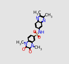 Cc1nc2ccc(NS(=O)(=O)c3ccc4c(c3)n(C)c(=O)c(=O)n4C)cc2nc1C